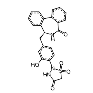 O=C1CS(=O)(=O)N(c2ccc(C[C@@H]3NC(=O)c4ccccc4-c4ccccc43)cc2O)N1